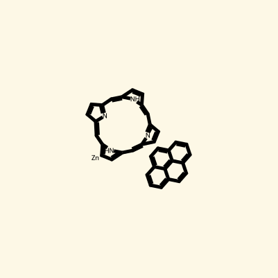 C1=Cc2cc3ccc(cc4nc(cc5ccc(cc1n2)[nH]5)C=C4)[nH]3.[Zn].c1cc2ccc3cccc4ccc(c1)c2c34